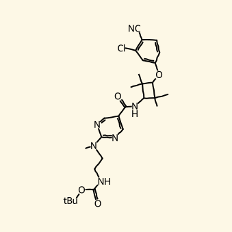 CN(CCNC(=O)OC(C)(C)C)c1ncc(C(=O)NC2C(C)(C)C(Oc3ccc(C#N)c(Cl)c3)C2(C)C)cn1